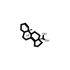 C[C@]12C=CCCC1CCC1=C3CCC[C@@]3(C(O)O)CC[C@@H]12